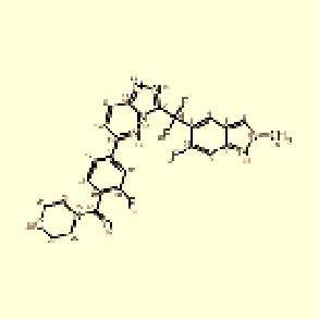 Cn1cc2cc(C(F)(F)c3nnc4ccc(-c5ccc(C(=O)N6CCOCC6)c(F)c5)nn34)c(F)cc2n1